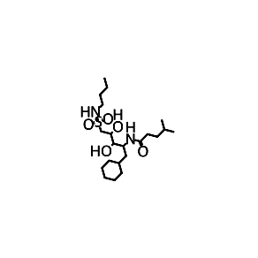 CCCCNS(=O)(=O)CC(O)C(O)C(CC1CCCCC1)NC(=O)CCC(C)C